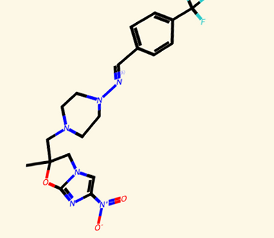 CC1(CN2CCN(/N=C/c3ccc(C(F)(F)F)cc3)CC2)Cn2cc([N+](=O)[O-])nc2O1